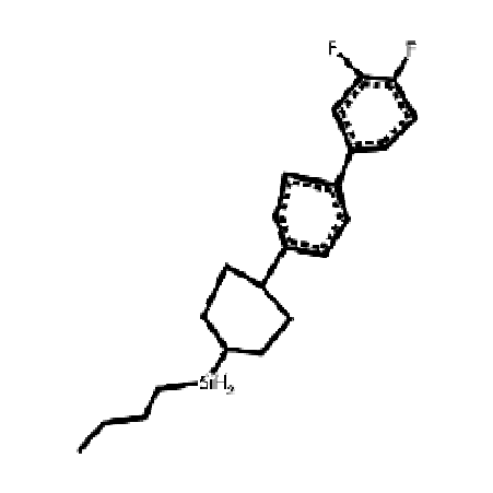 CCCC[SiH2]C1CCC(c2ccc(-c3ccc(F)c(F)c3)cc2)CC1